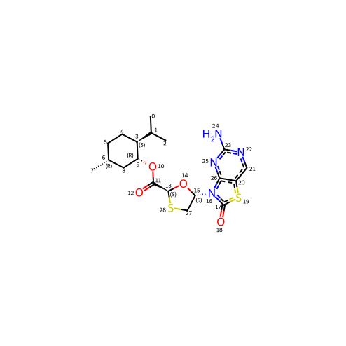 CC(C)[C@@H]1CC[C@@H](C)C[C@H]1OC(=O)[C@H]1O[C@H](n2c(=O)sc3cnc(N)nc32)CS1